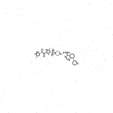 Cc1cc(C(=O)Nc2nc(C)c(S(=O)(=O)N3CCN(C[C@H](C)Nc4ncnc5c(-c6cccnc6)cccc45)CC3)s2)no1